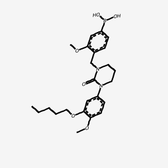 CCCCCOc1cc(N2CCCN(Cc3ccc(B(O)O)cc3OC)C2=O)ccc1OC